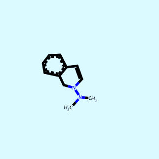 CN(C)N1C=Cc2ccccc2C1